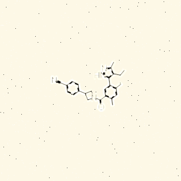 CCc1c(C)n[nH]c1-c1cc(C(=O)N2CC(c3ccc(C#N)cc3)C2)c(C)cc1C